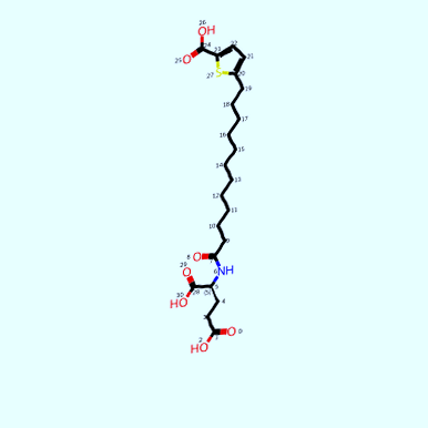 O=C(O)CC[C@H](NC(=O)CCCCCCCCCCCc1ccc(C(=O)O)s1)C(=O)O